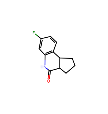 O=C1Nc2cc(F)ccc2C2CCCC12